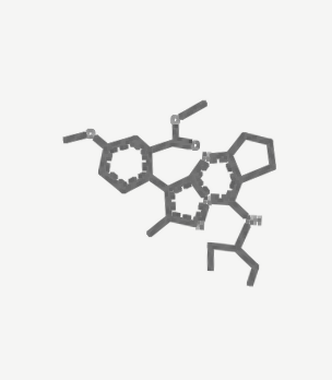 CCC(CC)Nc1c2c(nc3c(-c4ccc(OC)cc4C(=O)OC)c(C)nn13)CCC2